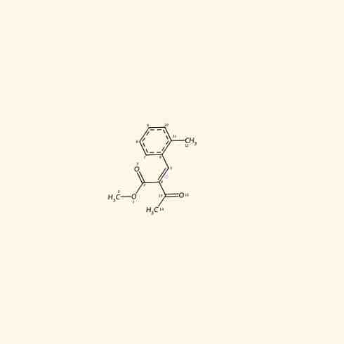 COC(=O)/C(=C\c1ccccc1C)C(C)=O